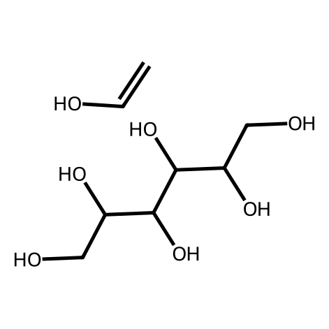 C=CO.OCC(O)C(O)C(O)C(O)CO